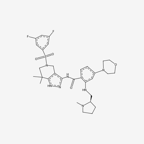 CN1CCC[C@@H]1CNc1cc(N2CCOCC2)ccc1C(=O)Nc1n[nH]c2c1CN(S(=O)(=O)c1cc(F)cc(F)c1)CC2(C)C